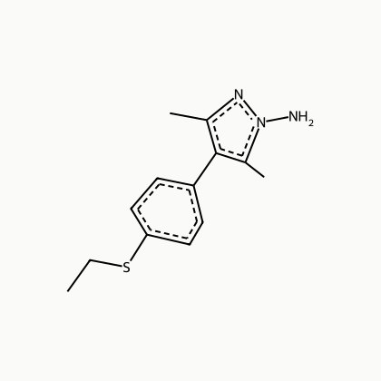 CCSc1ccc(-c2c(C)nn(N)c2C)cc1